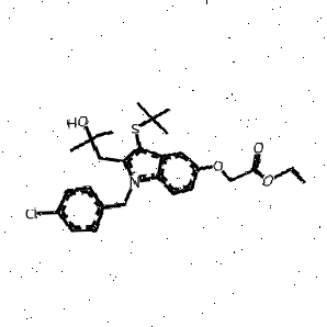 CCOC(=O)COc1ccc2c(c1)c(SC(C)(C)C)c(CC(C)(C)O)n2Cc1ccc(Cl)cc1